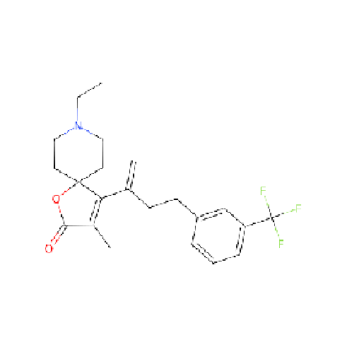 C=C(CCc1cccc(C(F)(F)F)c1)C1=C(C)C(=O)OC12CCN(CC)CC2